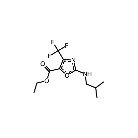 CCOC(=O)c1oc(NCC(C)C)nc1C(F)(F)F